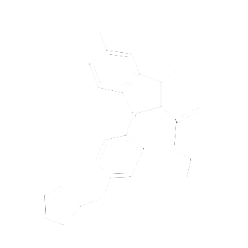 CCOC(=O)C1C(Cl)c2cc(Br)ccc2N1c1ccc(OC2CCCC2)cc1